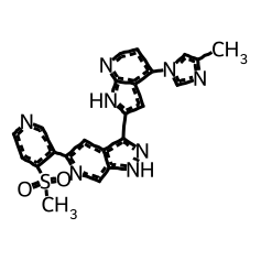 Cc1cn(-c2ccnc3[nH]c(-c4n[nH]c5cnc(-c6cnccc6S(C)(=O)=O)cc45)cc23)cn1